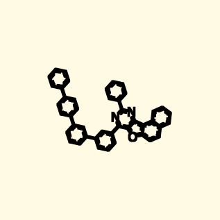 c1ccc(-c2ccc(-c3cccc(-c4cccc(-c5nc(-c6ccccc6)nc6c5oc5ccc7ccccc7c56)c4)c3)cc2)cc1